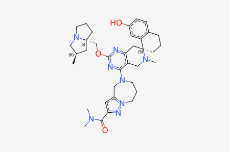 C[C@H]1CN2CCC[C@@]2(COc2nc3c(c(N4CCCn5nc(C(=O)N(C)C)cc5C4)n2)CN(C)[C@@]2(CCCc4ccc(O)cc42)C3)C1